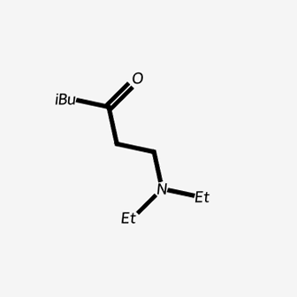 CCC(C)C(=O)CCN(CC)CC